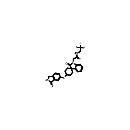 O=C(CN1C(=O)C2(CCC(Oc3ccc4c(c3)C(=O)NC4)CC2)c2ccccc21)NCC(F)(F)F